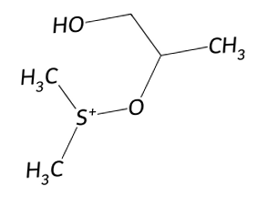 CC(CO)O[S+](C)C